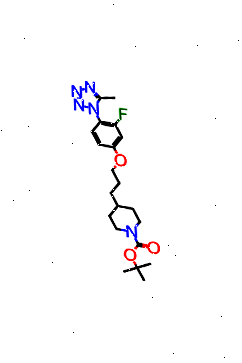 Cc1nnnn1-c1ccc(OCCCC2CCN(C(=O)OC(C)(C)C)CC2)cc1F